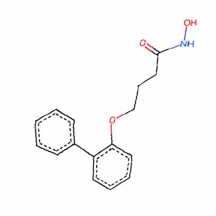 O=C(CCCOc1ccccc1-c1ccccc1)NO